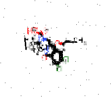 CCCCOc1c(CN(C(=O)O)C(C)(C)C)n(C)c(=O)c2cc(Cl)c(Cl)cc12